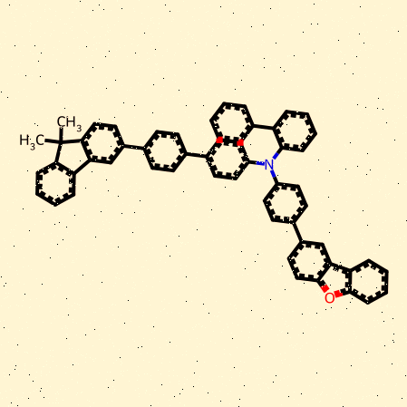 CC1(C)c2ccccc2-c2cc(-c3ccc(-c4ccc(N(c5ccc(-c6ccc7oc8ccccc8c7c6)cc5)c5ccccc5-c5ccccc5)cc4)cc3)ccc21